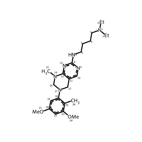 CCN(CC)CCCCNc1ncc2c(n1)N(C)CN(c1cc(OC)cc(OC)c1C)C2